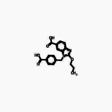 CCCOc1nc2ccc(C(=O)O)cc2n1Cc1ccc(C(=O)O)cc1